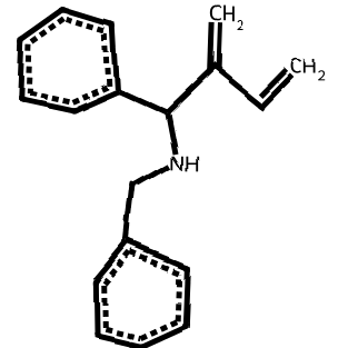 C=CC(=C)C(NCc1ccccc1)c1ccccc1